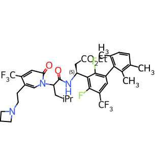 CCOC(=O)C[C@H](NC(=O)C(CC(C)C)n1cc(CCN2CCC2)c(C(F)(F)F)cc1=O)c1c(F)c(-c2c(C)ccc(C)c2C)cc(C(F)(F)F)c1F